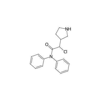 O=C(C(Cl)C1CCNC1)N(c1ccccc1)c1ccccc1